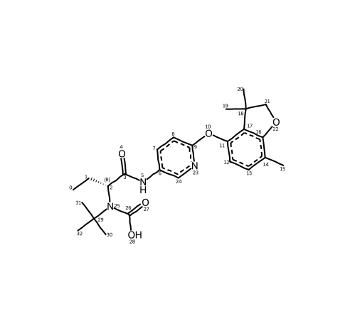 CC[C@H](C(=O)Nc1ccc(Oc2ccc(C)c3c2C(C)(C)CO3)nc1)N(C(=O)O)C(C)(C)C